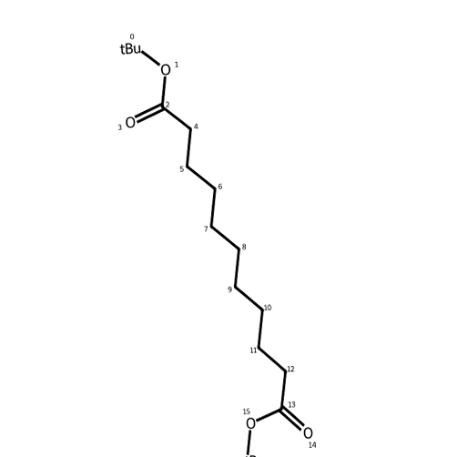 CC(C)(C)OC(=O)CCCCCCCCCC(=O)OC(C)(C)C